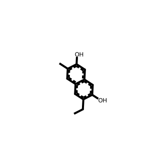 CCc1cc2cc(C)c(O)cc2cc1O